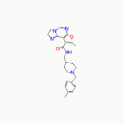 Cc1ccc(CN2CCC(CNC(=O)c3c(C)oc4c3C3=NCCN3C=N4)CC2)cc1